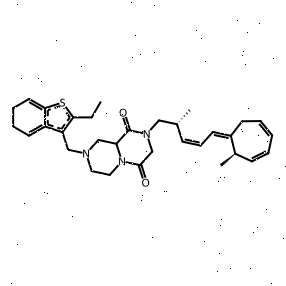 CCc1sc2c(c1CN1CCN3C(=O)CN(C[C@H](C)/C=C\C=C4\CC=CC=C[C@H]4C)C(=O)C3C1)=CCCC=2